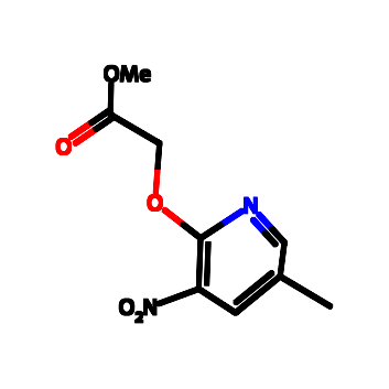 COC(=O)COc1ncc(C)cc1[N+](=O)[O-]